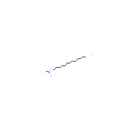 CCCCCCCCCCCCCCNC(N)CC